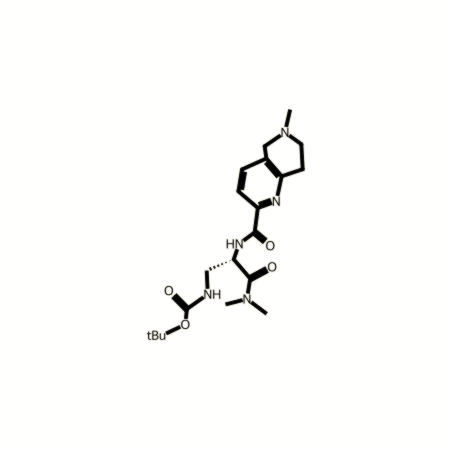 CN1CCc2nc(C(=O)N[C@@H](CNC(=O)OC(C)(C)C)C(=O)N(C)C)ccc2C1